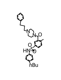 CCCCc1ccc(NS(=O)(=O)c2ccc(C)c(C(=O)N3CCN(CCCc4ccccc4)CC3)c2)cc1